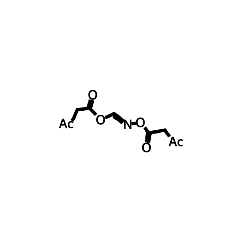 CC(=O)CC(=O)OC=NOC(=O)CC(C)=O